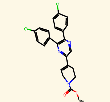 CC(C)(C)OC(=O)N1CC=C(c2cnc(-c3ccc(Cl)cc3)c(-c3ccc(Cl)cc3)n2)CC1